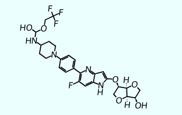 OC(NC1CCN(c2ccc(-c3nc4cc(O[C@@H]5CO[C@H]6[C@@H]5OC[C@H]6O)[nH]c4cc3F)cc2)CC1)OCC(F)(F)F